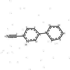 N#Cc1ccc(-c2cc[c]cc2)cn1